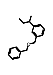 CCC(C)c1cccc(COCc2ccccc2)c1